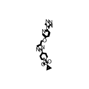 O=S(=O)(C1CC1)N1CCC(n2ncc(COc3ccc(-n4cnnn4)nc3)n2)CC1